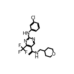 C=C(NCC1CCOCC1)c1cnc(Nc2cccc(Cl)c2)nc1C(F)(F)F